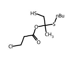 CCCCSC(C)(CS)OC(=O)CCCl